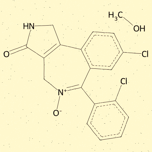 CO.O=C1NCC2=C1C[N+]([O-])=C(c1ccccc1Cl)c1cc(Cl)ccc12